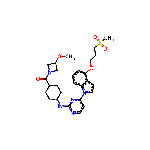 COC1CN(C(=O)C2CCC(Nc3nccc(-n4ccc5c(OCCCS(C)(=O)=O)cccc54)n3)CC2)C1